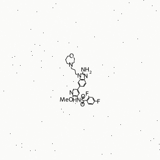 COc1ncc(-c2ccc3nc(N)n(CCCN4CCCOCC4)c3c2)cc1NS(=O)(=O)c1ccc(F)cc1F